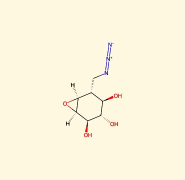 [N-]=[N+]=NC[C@@H]1[C@@H](O)[C@H](O)[C@@H](O)[C@H]2O[C@@H]12